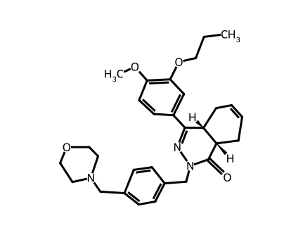 CCCOc1cc(C2=NN(Cc3ccc(CN4CCOCC4)cc3)C(=O)[C@H]3CC=CC[C@@H]23)ccc1OC